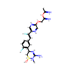 CC(=N)OC(=N)COc1cnc(/C(F)=C/c2ccc(F)c(C3C[S+]([O-])N(C)C(N)=N3)c2)cn1